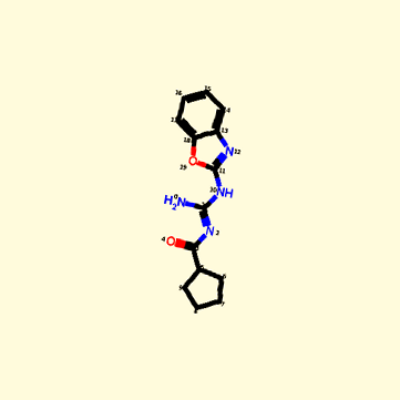 N/C(=N\C(=O)C1CCCC1)Nc1nc2ccccc2o1